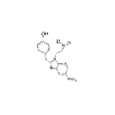 CCN(CC)CCn1c(Cc2ccc(O)cc2)nc2cc([N+](=O)[O-])ccc21